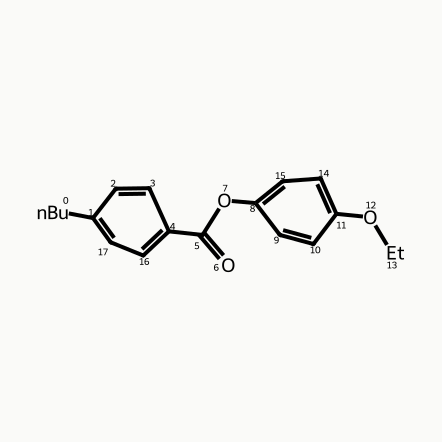 CCCCc1ccc(C(=O)Oc2ccc(OCC)cc2)cc1